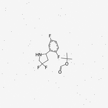 CC(C)(C)OC=O.Fc1ccc(F)c(C2CC(F)(F)CN2)c1